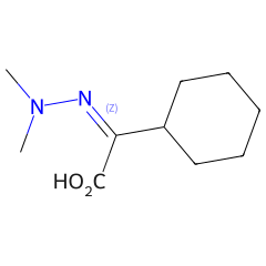 CN(C)/N=C(\C(=O)O)C1CCCCC1